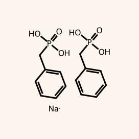 O=P(O)(O)Cc1ccccc1.O=P(O)(O)Cc1ccccc1.[Na]